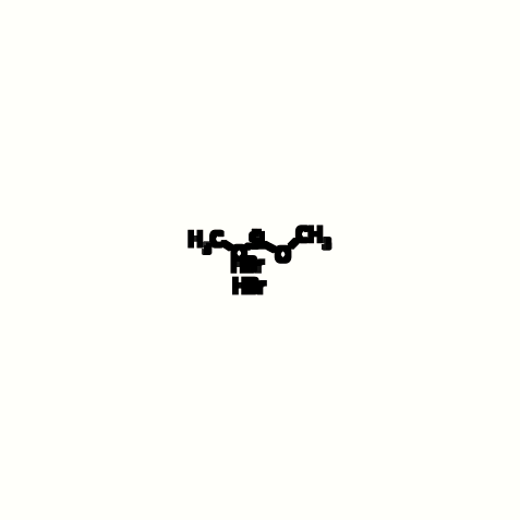 Br.Br.CO[Si]OC